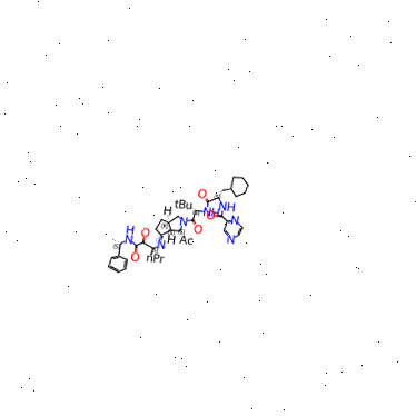 CCC[C@H](/N=C1\CC[C@H]2CN(C(=O)[C@@H](NC(=O)[C@H](CC3CCCCC3)NC(=O)c3cnccn3)C(C)(C)C)[C@H](C(C)=O)[C@@H]12)C(=O)C(=O)N[C@@H](C)c1ccccc1